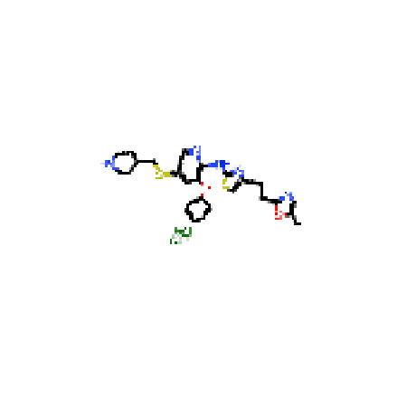 Cc1cnc(CCc2csc(Nc3ncc(SCC4CCNCC4)cc3Oc3ccccc3)n2)o1.Cl.Cl